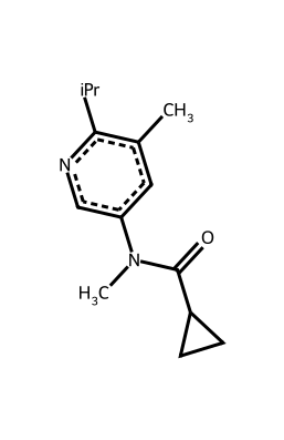 Cc1cc(N(C)C(=O)C2CC2)cnc1C(C)C